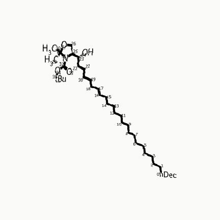 CCCCCCCCCCCCCCCCCCCCCCCCCCCCCCCC[C@@H](O)[C@@H]1COC(C)(C)N1C(=O)OC(C)(C)C